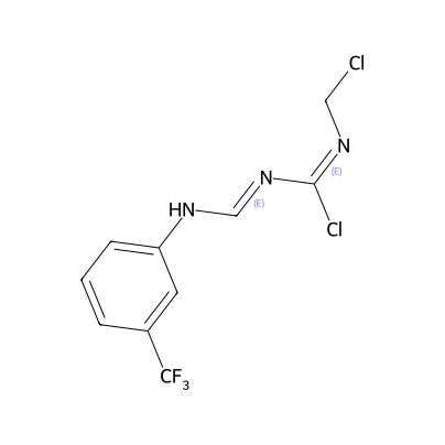 FC(F)(F)c1cccc(N/C=N/C(Cl)=N\CCl)c1